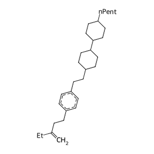 C=C(CC)CCc1ccc(CCC2CCC(C3CCC(CCCCC)CC3)CC2)cc1